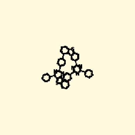 c1ccc(-c2nc(-c3ccccc3)nc(-c3ccc4sc5cccc(-c6ccc(-c7nc(-c8ccccc8)c8sc9ccccc9c8n7)cc6)c5c4c3)n2)cc1